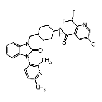 Cc1ccc(-n2c(=O)n(CC3CCC(NC(=O)c4cc(Cl)cnc4C(F)F)CC3)c3ccccc32)c(C)n1